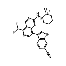 C[C@H]1CCCC[C@H]1Nc1ncc2c(C(F)F)ncc(-c3c[nH]c4cc(C#N)ccc34)c2n1